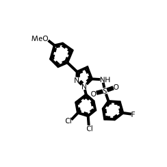 COc1ccc(-c2cc(NS(=O)(=O)c3cccc(F)c3)n(-c3ccc(Cl)c(Cl)c3)n2)cc1